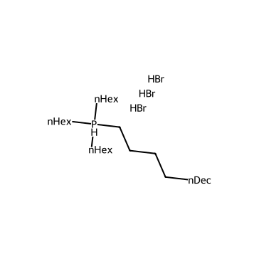 Br.Br.Br.CCCCCCCCCCCCCC[PH](CCCCCC)(CCCCCC)CCCCCC